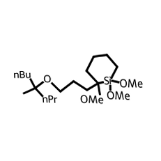 CCCCC(C)(CCC)OCCCC1(OC)CCCC[Si]1(OC)OC